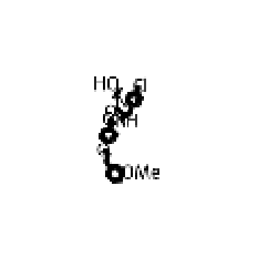 COc1cccc(CCOc2ccc(C(=O)N/C(=C/c3ccc(Cl)cc3)C(=O)NCCO)cc2)c1